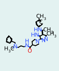 CC1=NN=C(N2CCC(C(=O)NCCCN(C)Cc3ccccc3)CC2)C(=N)/C1=C(/C)Nc1ccc(C)cc1